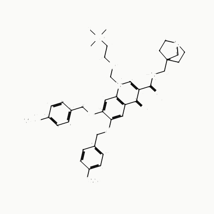 COc1ccc(COc2cc3c(=O)c(C(=O)NCC45CCN(CC4)C5)cn(COCC[Si](C)(C)C)c3cc2OCc2ccc(OC)cc2)cc1